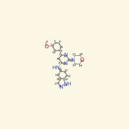 COc1cccc(-c2cc(Nc3ccc4[nH]ncc4c3)nc(N3CCOCC3)n2)c1